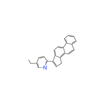 CCc1ccc(C2=CCc3c2ccc2c3ccc3ccccc32)nc1